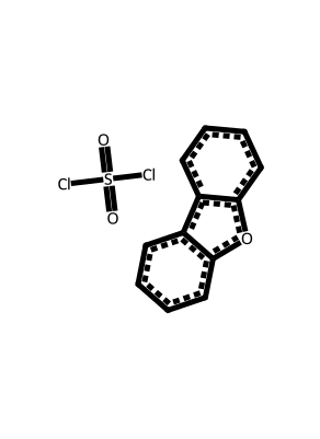 O=S(=O)(Cl)Cl.c1ccc2c(c1)oc1ccccc12